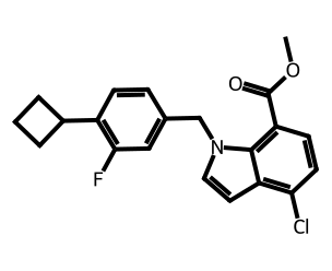 COC(=O)c1ccc(Cl)c2ccn(Cc3ccc(C4CCC4)c(F)c3)c12